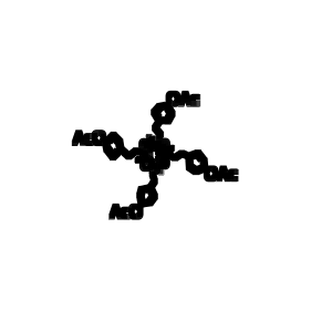 CC(=O)Oc1ccc(CC[Si]2(C)O[Si](C)(CCc3ccc(OC(C)=O)cc3)O[Si](C)(CCc3ccc(OC(C)=O)cc3)O[Si](C)(CCc3ccc(OC(C)=O)cc3)O2)cc1